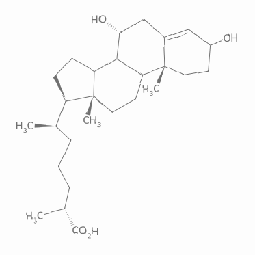 C[C@H](CCC[C@@H](C)[C@H]1CCC2C3C(CC[C@@]21C)[C@@]1(C)CCC(O)C=C1C[C@H]3O)C(=O)O